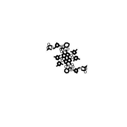 Cc1ccc(Oc2cc3c4c(cc(Oc5ccc(C)cc5C)c5c6c(Oc7ccc(C)cc7C)cc7c8c(cc(Oc9ccc(C)cc9C)c(c2c45)c86)C(=O)N(C(C(=O)Nc2cccc(CN(CC4CO4)CC4CO4)c2)C2CCCCCC2)C7=O)C(=O)N(C(C(=O)Nc2cccc(CN(CC4CO4)CC4CO4)c2)C2CCCCCC2)C3=O)c(C)c1